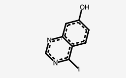 Oc1ccc2c(I)ncnc2c1